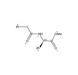 COC(=O)[C@H](NC(=O)CC(C)C)C(C)C